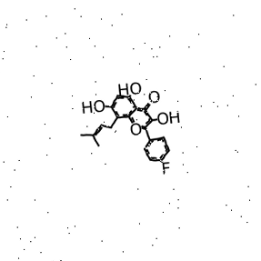 CC(C)=CCc1c(O)cc(O)c2c(=O)c(O)c(-c3ccc(F)cc3)oc12